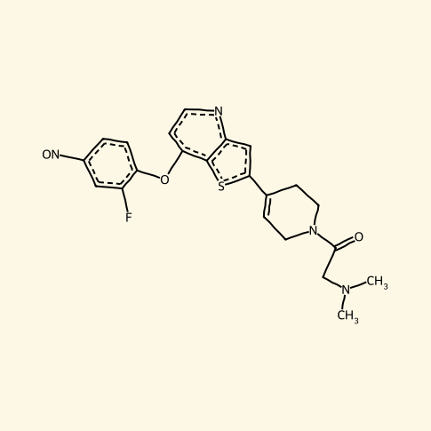 CN(C)CC(=O)N1CC=C(c2cc3nccc(Oc4ccc(N=O)cc4F)c3s2)CC1